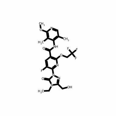 CCn1c(CO)nn(-c2nc(OCC(F)(F)F)c(C(=O)Nc3c(C)cnc(OC)c3C)cc2F)c1=O